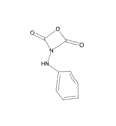 O=C1OC(=O)N1Nc1ccccc1